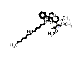 CCCCCCCNCCCCCN1C(=O)[C@]2(CCN3C[C@H](CC)[C@@H](/C(=C\OC)C(=O)OC)CC32)c2ccccc21